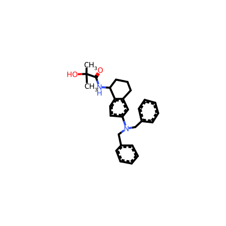 CC(C)(O)C(=O)NC1CCCc2cc(N(Cc3ccccc3)Cc3ccccc3)ccc21